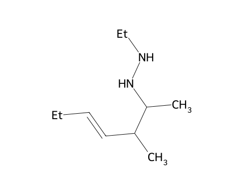 CC/C=C/C(C)C(C)NNCC